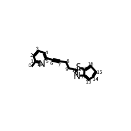 Cc1cccc(C#CCCc2nc3ccccc3s2)n1